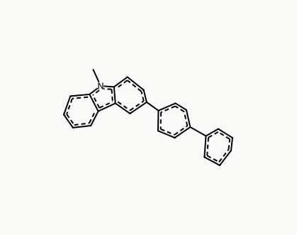 Cn1c2ccccc2c2cc(-c3ccc(-c4ccccc4)cc3)ccc21